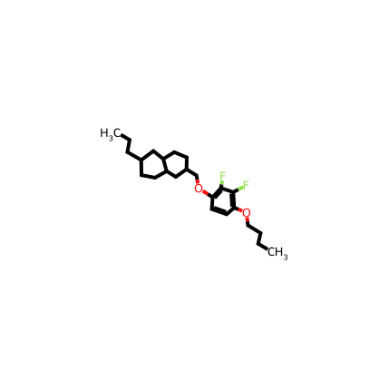 CCCCOc1ccc(OCC2CCC3CC(CCC)CCC3C2)c(F)c1F